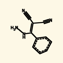 N#CC(C#N)=C(NN)c1ccccc1